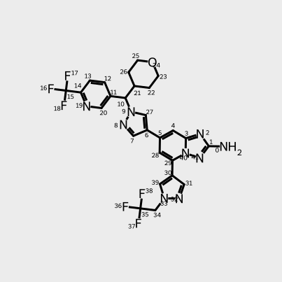 Nc1nc2cc(-c3cnn(C(c4ccc(C(F)(F)F)nc4)C4CCOCC4)c3)cc(-c3cnn(CC(F)(F)F)c3)n2n1